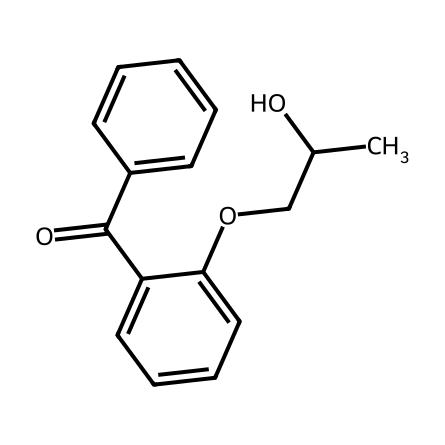 CC(O)COc1ccccc1C(=O)c1ccccc1